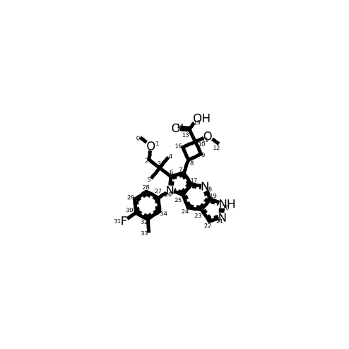 COCC(C)(C)c1c(C2CC(OC)(C(=O)O)C2)c2nc3[nH]ncc3cc2n1-c1ccc(F)c(C)c1